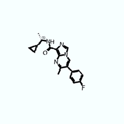 Cc1nc2c(C(=O)N[C@@H](C)C3CC3)ncn2cc1-c1ccc(F)cc1